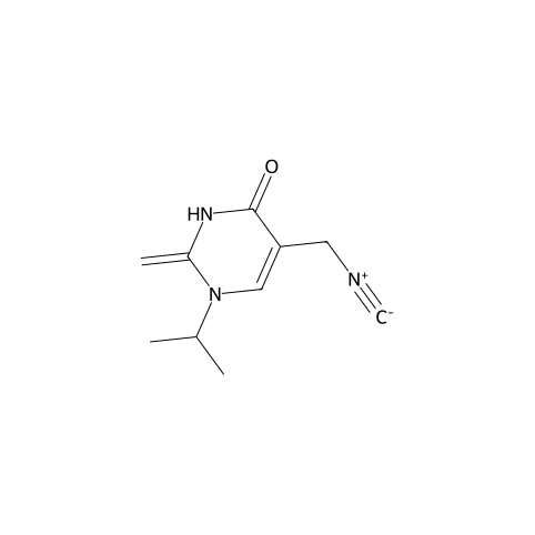 [C-]#[N+]CC1=CN(C(C)C)C(=C)NC1=O